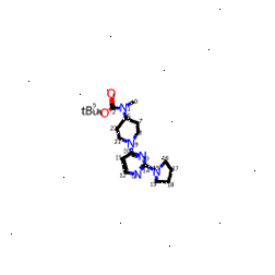 CN(C(=O)OC(C)(C)C)C1CCN(c2ccnc(N3CCCC3)n2)CC1